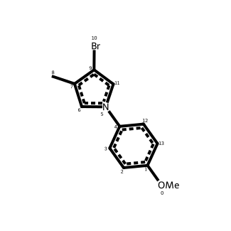 COc1ccc(-n2cc(C)c(Br)c2)cc1